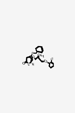 O=C1CC2C(OCc3ccccc3)C[C@@H](O1)C2OCC(O)COc1ccccc1Cl